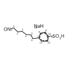 O=NCCCCCCc1ccc(S(=O)(=O)O)cc1.[NaH]